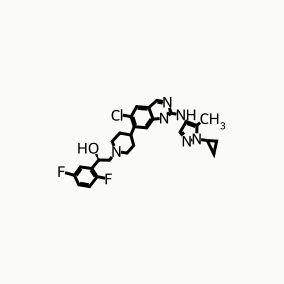 Cc1c(Nc2ncc3cc(Cl)c(C4CCN(C[C@H](O)c5cc(F)ccc5F)CC4)cc3n2)cnn1C1CC1